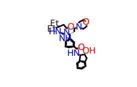 CCC1(CC)CC(=O)N([C@H](CCN2CCOCC2)c2cccc(C(=O)N[C@@H]3c4ccccc4C[C@H]3O)c2)C(=N)N1